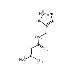 CN(C)CC(=O)NCC1=CNNN1